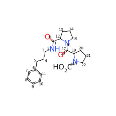 O=C(NCCCc1ccccc1)C1CCCN1C(=O)C1CCCN1C(=O)O